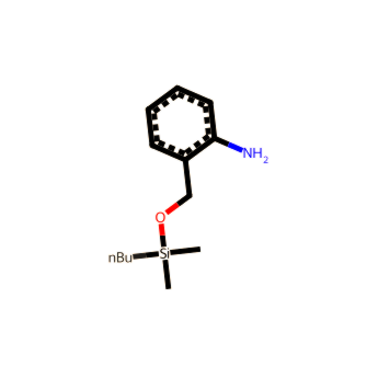 CCCC[Si](C)(C)OCc1ccccc1N